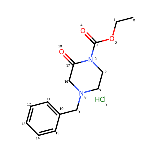 CCOC(=O)N1CCN(Cc2ccccc2)CC1=O.Cl